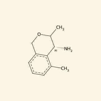 Cc1cccc2c1[C@@H](N)C(C)OC2